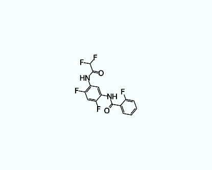 O=C(Nc1cc(NC(=O)C(F)F)c(F)cc1F)c1ccccc1F